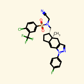 C[C@]12Cc3cnn(-c4ccc(F)cc4)c3C=C1CC[C@@H]2CN(CC#N)S(=O)(=O)c1ccc(Cl)c(C(F)(F)F)c1